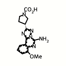 COc1cccc2c1nc(N)n1nc([C@@H]3CCN(C(=O)O)C3)nc21